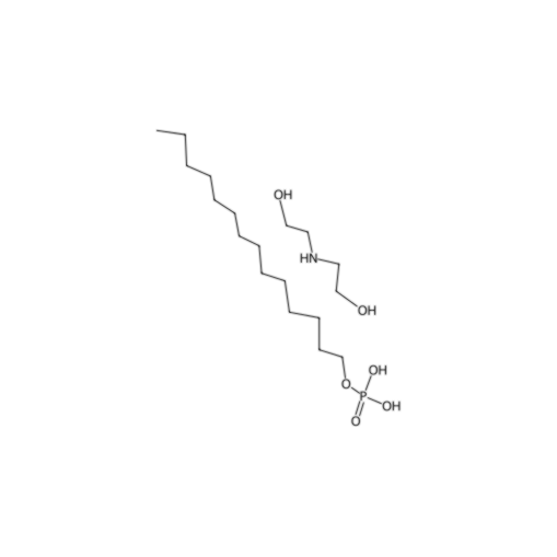 CCCCCCCCCCCCCCOP(=O)(O)O.OCCNCCO